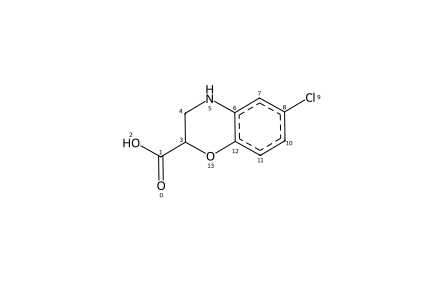 O=C(O)C1CNc2cc(Cl)ccc2O1